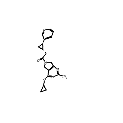 Cc1nc2c(c(OC3CC3)n1)CN(C(=O)C[C@@H]1C[C@H]1c1cccnc1)C2